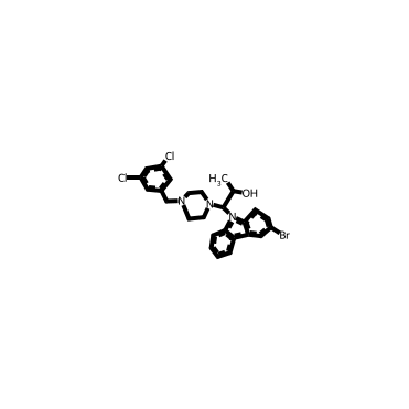 CC(O)C(N1CCN(Cc2cc(Cl)cc(Cl)c2)CC1)n1c2ccccc2c2cc(Br)ccc21